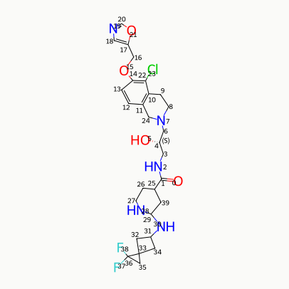 O=C(NC[C@H](O)CN1CCc2c(ccc(OCc3cnco3)c2Cl)C1)C1CCNC(NC2CC3(C2)CC3(F)F)C1